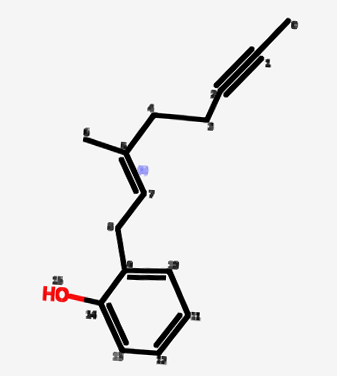 CC#CCC/C(C)=C/Cc1ccccc1O